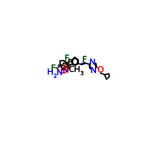 C[C@]1(c2cc(/C=C(\F)c3cnc(OCC4CCC4)cn3)ccc2F)N=C(N)[C@@]2(CF)CC[C@@H]1S2(=O)=O